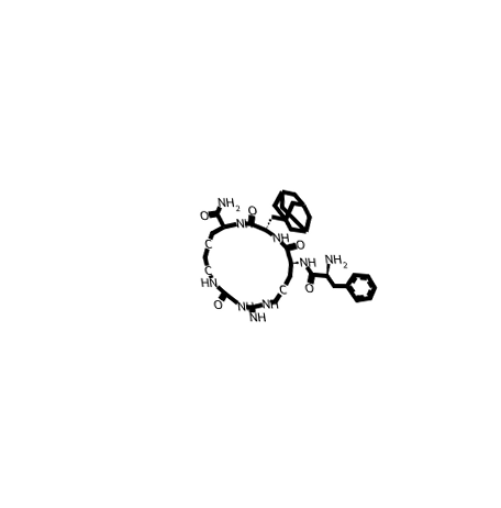 N=C1NCCC[C@@H](NC(=O)[C@@H](N)Cc2ccccc2)C(=O)N[C@@H](CC23CC4CC(CC(C4)C2)C3)C(=O)NC(C(N)=O)CCCCNC(=O)N1